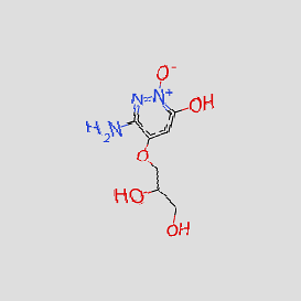 Nc1n[n+]([O-])c(O)cc1OCC(O)CO